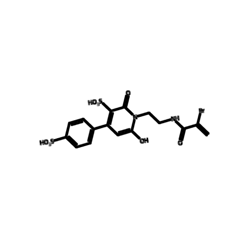 C=C(Br)C(=O)NCCn1c(O)cc(-c2ccc(S(=O)(=O)O)cc2)c(S(=O)(=O)O)c1=O